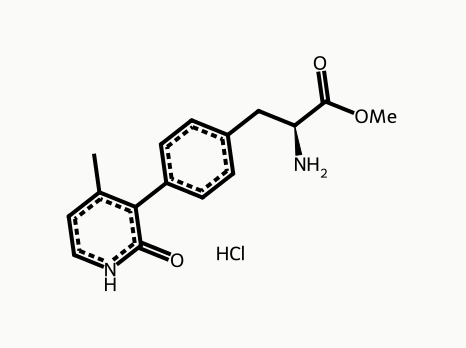 COC(=O)[C@@H](N)Cc1ccc(-c2c(C)cc[nH]c2=O)cc1.Cl